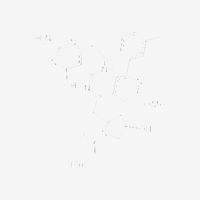 COc1cccc(-c2cc(F)ccc2[C@H]2Cc3nc(N)nc(C)c3/C(=N/OCC3CC(O)CN3C(=O)OC(C)(C)C)N2)n1